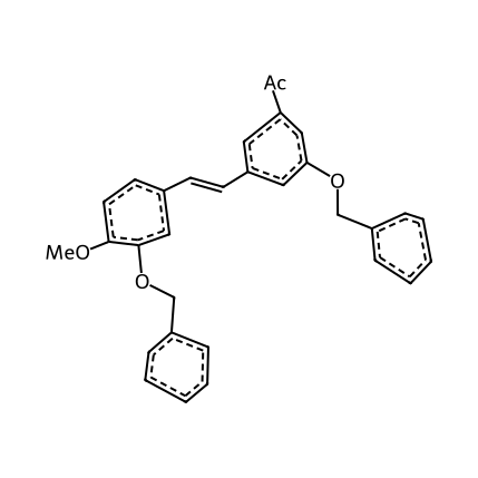 COc1ccc(/C=C/c2cc(OCc3ccccc3)cc(C(C)=O)c2)cc1OCc1ccccc1